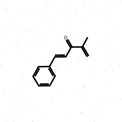 C=C(C)C(=O)C=Cc1ccccc1